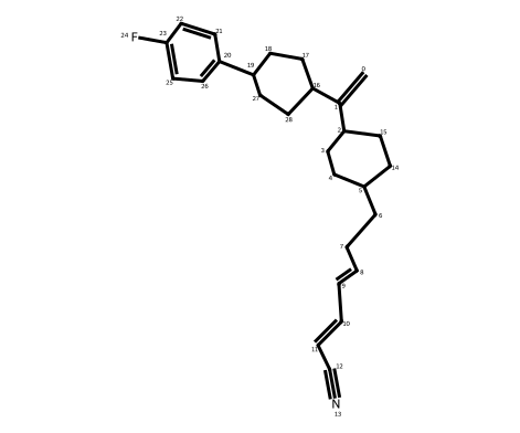 C=C(C1CCC(CCC=CC=CC#N)CC1)C1CCC(c2ccc(F)cc2)CC1